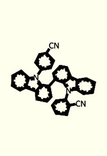 N#Cc1ccc(-n2c3ccccc3c3cccc(-c4cccc5c6ccccc6n(-c6ccccc6C#N)c45)c32)cc1